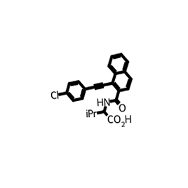 CC(C)C(NC(=O)c1ccc2ccccc2c1C#Cc1ccc(Cl)cc1)C(=O)O